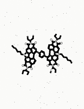 CCCCCCn1c2cc3c(=O)n(C(CC)CC)c(=O)c4ccc5c6c(-c7ccc(-c8cc9c(=O)n(C(CC)CC)c(=O)c%10cc%11c%12c(c8c8ccc%13c(=O)n(C(CC)CC)c(=O)c%14cc(c%12c8c%13%14)n%11CCCCCC)c9%10)cc7)cc7c(=O)n(C(CC)CC)c(=O)c8cc1c(c6c78)c2c5c43